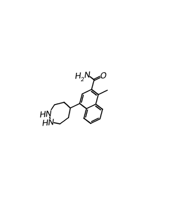 Cc1c(C(N)=O)cc(C2CCNNCC2)c2ccccc12